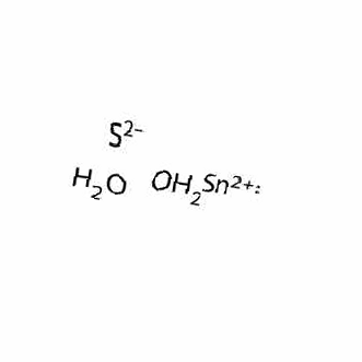 O.O.[S-2].[Sn+2]